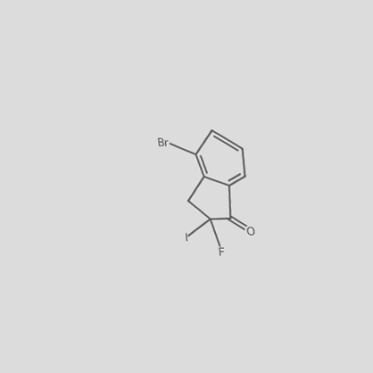 O=C1c2cccc(Br)c2CC1(F)I